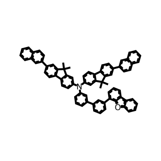 CC1(C)c2cc(-c3ccc4ccccc4c3)ccc2-c2ccc(N(c3cccc(-c4cccc(-c5cccc6c5oc5ccccc56)c4)c3)c3ccc4c(c3)C(C)(C)c3cc(-c5ccc6ccccc6c5)ccc3-4)cc21